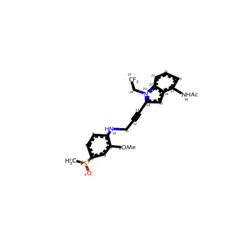 COc1cc([S+](C)[O-])ccc1NCC#Cc1cc2c(NC(C)=O)cccc2n1CC(F)(F)F